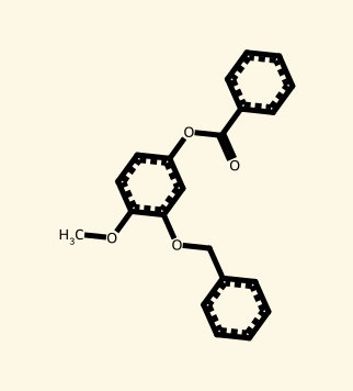 COc1ccc(OC(=O)c2ccccc2)cc1OCc1ccccc1